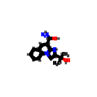 CC(C)(O)c1cn2c(n1)c(C(N)=O)cc1ccccc12